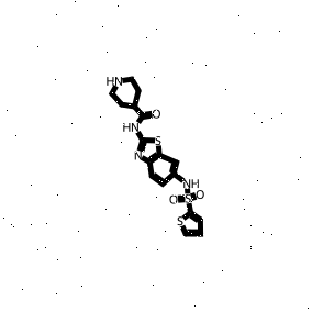 O=C(Nc1nc2ccc(NS(=O)(=O)c3cccs3)cc2s1)C1CCNCC1